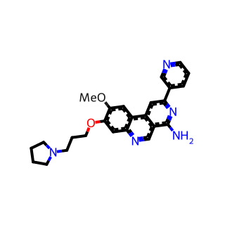 COc1cc2c(cc1OCCCN1CCCC1)ncc1c(N)nc(-c3cccnc3)cc12